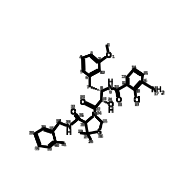 COc1cccc(C[C@H](NC(=O)c2cccc(N)c2Cl)[C@H](O)C(=O)N2CSC(C)(C)C2C(=O)NCc2ccccc2C)c1